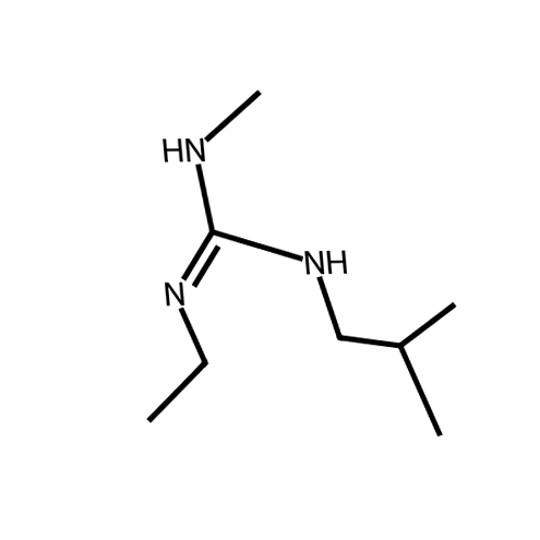 CC/N=C(/NC)NCC(C)C